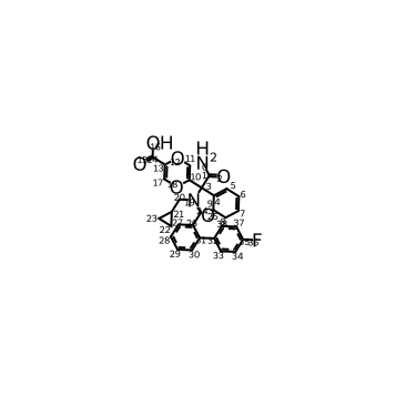 NC(=O)C(C1=CC=CCC1)(C1=COC(C(=O)O)=CO1)N(CC1CC1)C(=O)c1ccccc1-c1ccc(F)cc1